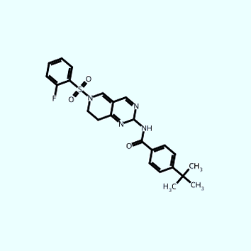 CC(C)(C)c1ccc(C(=O)NC2N=CC3=CN(S(=O)(=O)c4ccccc4F)CCC3=N2)cc1